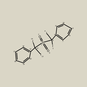 O=S(=O)(C(I)(I)c1ccccc1)C(I)(I)c1ccccc1